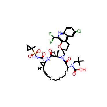 CC(C)(C)CN(C(=O)O)[C@H]1CCCCC/C=C\[C@@H]2C[C@@]2(C(=O)NS(=O)(=O)C2(C)CC2)NC(=O)[C@@H]2C[C@]3(CCc4c(c(C(F)F)nc5ccc(Cl)cc45)O3)CN2C1=O